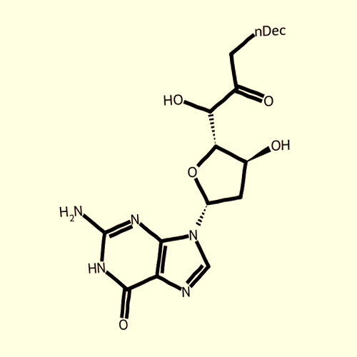 CCCCCCCCCCCC(=O)C(O)[C@H]1O[C@@H](n2cnc3c(=O)[nH]c(N)nc32)C[C@@H]1O